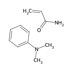 C=CC(N)=O.CN(C)c1ccccc1